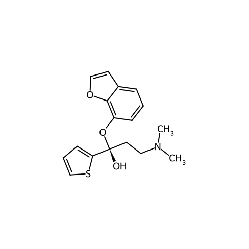 CN(C)CC[C@@](O)(Oc1cccc2ccoc12)c1cccs1